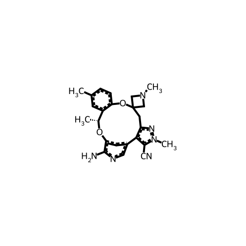 Cc1ccc2c(c1)[C@@H](C)Oc1cc(cnc1N)-c1c(nn(C)c1C#N)CC1(CN(C)C1)O2